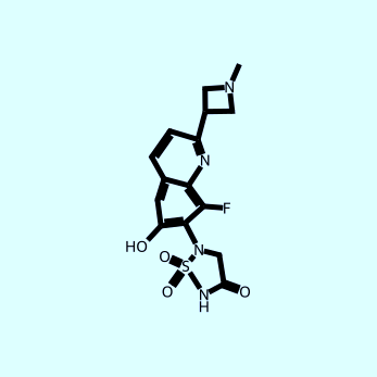 CN1CC(c2ccc3cc(O)c(N4CC(=O)NS4(=O)=O)c(F)c3n2)C1